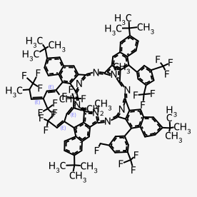 C=C/C(=C\C(=C/C(F)(F)F)c1c2ccc(C(C)(C)C)cc2cc2c1c1nc3nc(nc4c5cc6cc(C(C)(C)C)ccc6c(-c6cc(C(F)(F)F)cc(C(F)(F)F)c6)c5c(nc5nc(nc2n1C)-c1c-5cc2cc(C(C)(C)C)ccc2c1-c1cc(CF)cc(C(F)(F)F)c1)n4C)-c1cc2cc(C(C)(C)C)ccc2c(/C(C)=C/C(=C\C(C)C(F)(F)F)C(F)(F)F)c1-3)C(F)(F)F